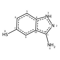 Nc1n[nH]c2ccc(S)cc12